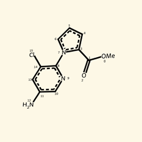 COC(=O)c1cccn1-c1ncc(N)cc1Cl